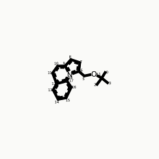 CC(C)(C)OCc1ccc2ccc3ccccc3n12